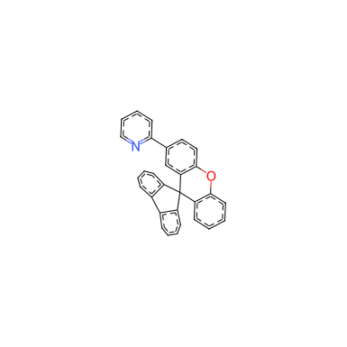 c1ccc(-c2ccc3c(c2)C2(c4ccccc4O3)c3ccccc3-c3ccccc32)nc1